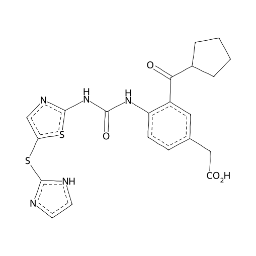 O=C(O)Cc1ccc(NC(=O)Nc2ncc(Sc3ncc[nH]3)s2)c(C(=O)C2CCCC2)c1